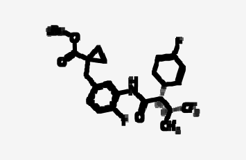 C[C@H]([C@H](C(=O)Nc1cc(CC2(C(=O)OC(C)(C)C)CC2)ccc1F)C1C=CC(F)=CC1)C(F)(F)F